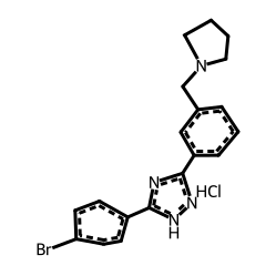 Brc1ccc(-c2nc(-c3cccc(CN4CCCC4)c3)n[nH]2)cc1.Cl